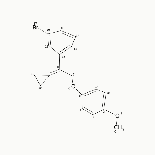 COc1ccc(OCC(=C2CC2)c2cccc(Br)c2)cc1